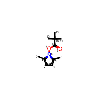 Cc1ccc(C)n1OC(=O)C(C)(C)C